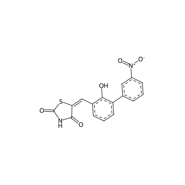 O=C1NC(=O)/C(=C\c2cccc(-c3cccc([N+](=O)[O-])c3)c2O)S1